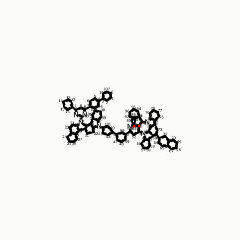 c1ccc(-c2ccc(-c3cc(-c4ccccc4)nc(-n4c5ccc6ccccc6c5c5ccc6c(c7ccccc7n6-c6ccc(-c7cccc(-c8cc(-n9c%10ccccc%10c%10c(-c%11ccc%12ccccc%12c%11)cc%11c%12ccccc%12n(-c%12ccccc%12)c%11c%109)cc(-c9ccccc9)n8)c7)cc6)c54)n3)cc2)cc1